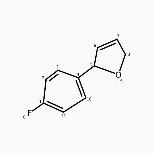 Fc1ccc(C2C=CCO2)cc1